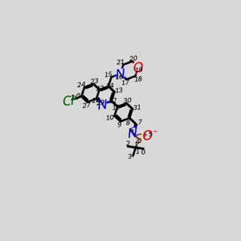 CC(C)(C)[S+]([O-])/N=C/c1ccc(-c2cc(CN3CCOCC3)c3ccc(Cl)cc3n2)cc1